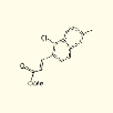 COC(=O)/C=C/c1ccc2cc(C)ccc2c1Cl